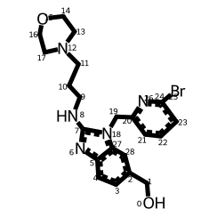 OCc1ccc2nc(NCCCN3CCOCC3)n(Cc3cccc(Br)n3)c2c1